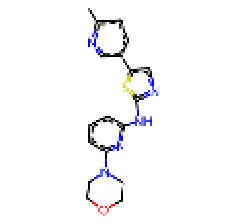 Cc1ccc(-c2cnc(Nc3cccc(N4CCOCC4)n3)s2)cn1